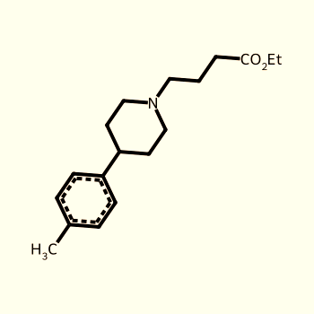 CCOC(=O)CCCN1CCC(c2ccc(C)cc2)CC1